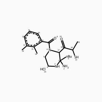 CCCCC1(N)NCCN(C(=O)c2cccc(C)c2C)C1C(=O)C(C)S.Cl